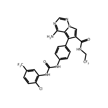 Nc1ncnn2cc(C(=O)NCC(F)(F)F)c(-c3ccc(NC(=O)Nc4cc(C(F)(F)F)ccc4Cl)cc3)c12